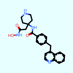 O=C(CC1(NC(=O)c2ccc(Cc3ccnc4ccccc34)cc2)CCNCC1)NO